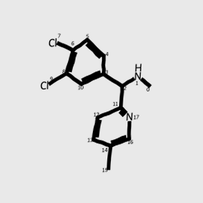 CNC(c1ccc(Cl)c(Cl)c1)c1ccc(C)cn1